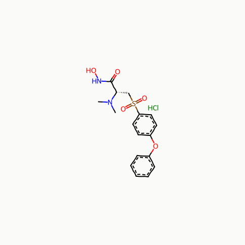 CN(C)[C@@H](CS(=O)(=O)c1ccc(Oc2ccccc2)cc1)C(=O)NO.Cl